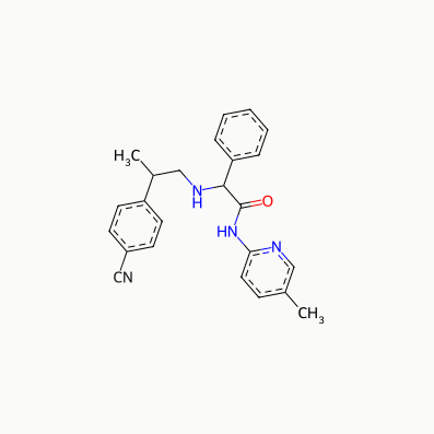 Cc1ccc(NC(=O)C(NCC(C)c2ccc(C#N)cc2)c2ccccc2)nc1